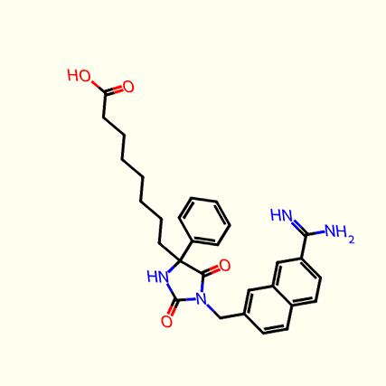 N=C(N)c1ccc2ccc(CN3C(=O)NC(CCCCCCCC(=O)O)(c4ccccc4)C3=O)cc2c1